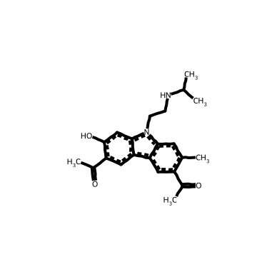 CC(=O)c1cc2c3cc(C(C)=O)c(O)cc3n(CCNC(C)C)c2cc1C